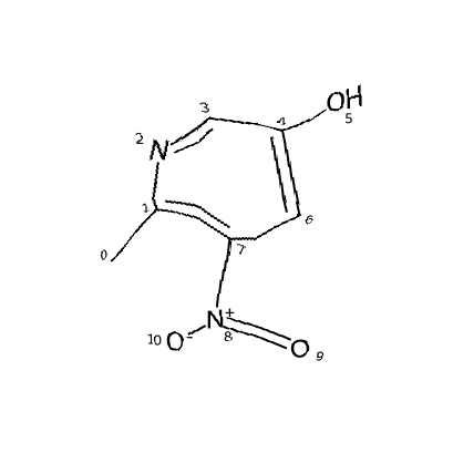 Cc1ncc(O)cc1[N+](=O)[O-]